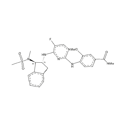 CNC(=O)c1ccc(Nc2ncc(F)c(N[C@@H]3Cc4ccccc4[C@H]3N(C)S(C)(=O)=O)n2)c(OC)c1